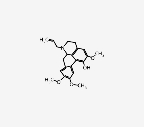 C=CCN1CCc2cc(OC)c(O)c3c2C1Cc1cc(OC)c(OC)cc1-3